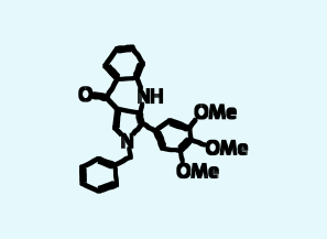 COc1cc(-c2c3[nH]c4ccccc4c(=O)c3cn2Cc2ccccc2)cc(OC)c1OC